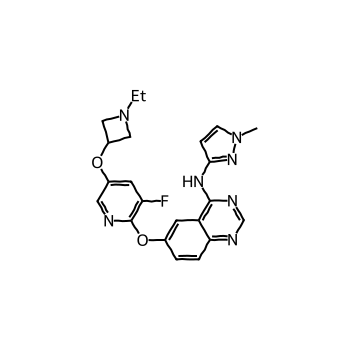 CCN1CC(Oc2cnc(Oc3ccc4ncnc(Nc5ccn(C)n5)c4c3)c(F)c2)C1